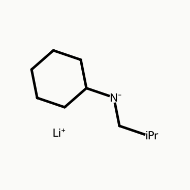 CC(C)C[N-]C1CCCCC1.[Li+]